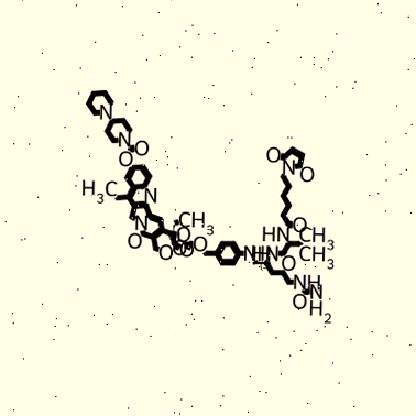 CCc1c2c(nc3ccc(OC(=O)N4CCC(N5CCCCC5)CC4)cc13)-c1cc3c(c(=O)n1C2)COC(=O)[C@]3(CC)OC(=O)OCc1ccc(NC[C@H](CCCNC(N)=O)NC(=O)C(NC(=O)CCCCCN2C(=O)C=CC2=O)C(C)C)cc1